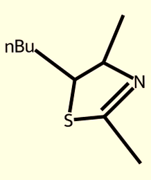 CCCCC1SC(C)=NC1C